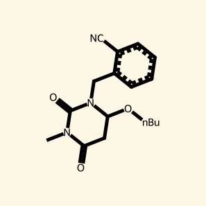 CCCCOC1CC(=O)N(C)C(=O)N1Cc1ccccc1C#N